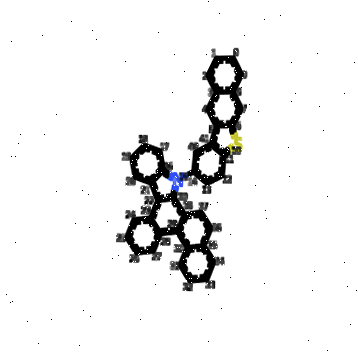 c1ccc2cc3c(cc2c1)sc1ccc(-n2c4ccccc4c4c5ccccc5c5c6ccccc6ccc5c42)cc13